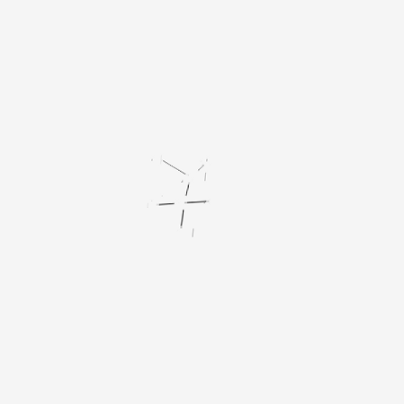 C[Si](Cl)(Cl)[SiH](Cl)Cl